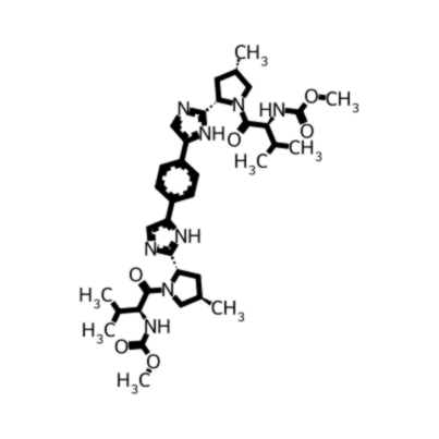 COC(=O)N[C@H](C(=O)N1C[C@H](C)C[C@H]1c1ncc(-c2ccc(-c3cnc([C@@H]4C[C@H](C)CN4C(=O)[C@@H](NC(=O)OC)C(C)C)[nH]3)cc2)[nH]1)C(C)C